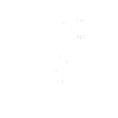 C\C=C/C(OSF)=C(F)\C=C\CC(N)C(=O)O